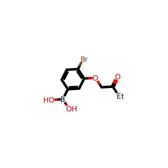 CCC(=O)COc1cc(B(O)O)ccc1Br